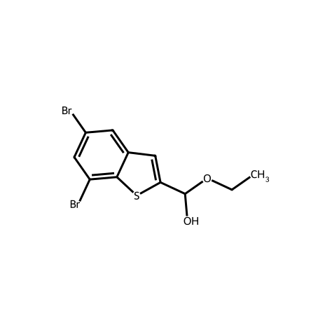 CCOC(O)c1cc2cc(Br)cc(Br)c2s1